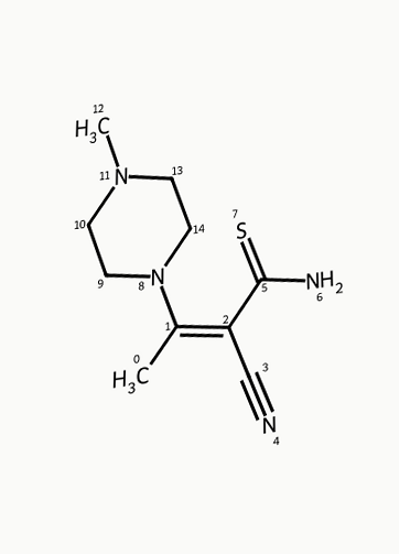 CC(=C(C#N)C(N)=S)N1CCN(C)CC1